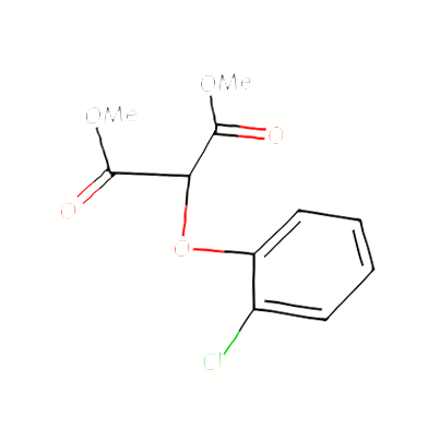 COC(=O)C(Oc1ccccc1Cl)C(=O)OC